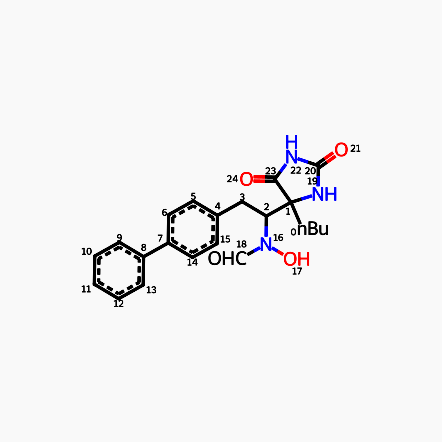 CCCCC1(C(Cc2ccc(-c3ccccc3)cc2)N(O)C=O)NC(=O)NC1=O